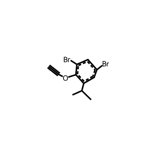 C#COc1c(Br)cc(Br)cc1C(C)C